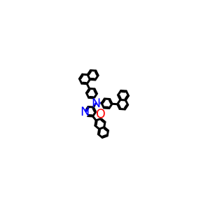 c1ccc2cc3c(cc2c1)oc1c(N(c2ccc(-c4cccc5ccccc45)cc2)c2ccc(-c4cccc5ccccc45)cc2)cncc13